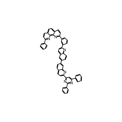 c1ccc(-c2cc(-c3ccc4ccc(-c5ccc6nc(-c7cccc(-c8ccc9ccc%10ccc(-c%11ccccc%11)nc%10c9n8)c7)ccc6c5)cc4n3)nc(-c3ccccc3)n2)cc1